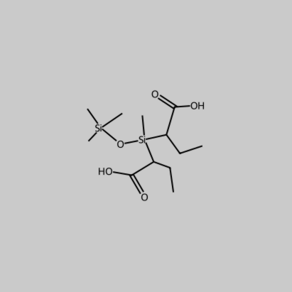 CCC(C(=O)O)[Si](C)(O[Si](C)(C)C)C(CC)C(=O)O